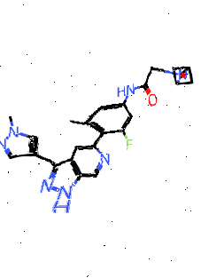 Cc1cc(NC(=O)CN2C=C3CC2C3)cc(F)c1-c1cc2c(-c3cnn(C)c3)n[nH]c2cn1